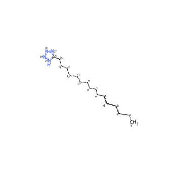 CCCCCCCCCCCCCCCCc1nnn[nH]1